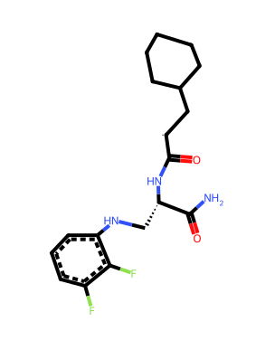 NC(=O)[C@H](CNc1cccc(F)c1F)NC(=O)[CH]CC1CCCCC1